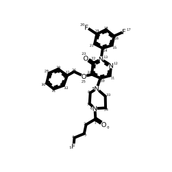 O=C(CCCF)N1CCN(c2cnn(-c3cc(F)cc(F)c3)c(=O)c2OCc2ccccc2)CC1